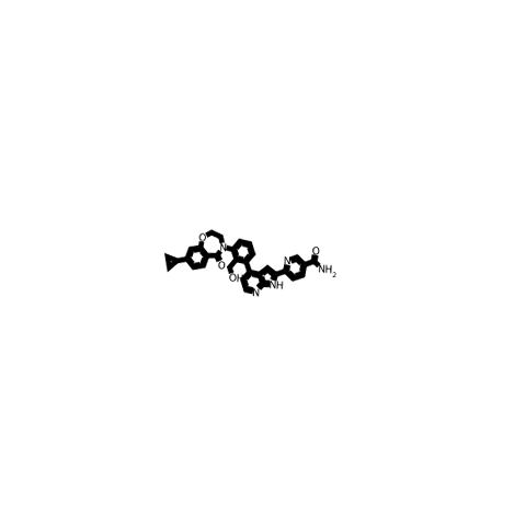 NC(=O)c1ccc(-c2cc3c(-c4cccc(N5CCOc6cc(C7CC7)ccc6C5=O)c4CO)ccnc3[nH]2)nc1